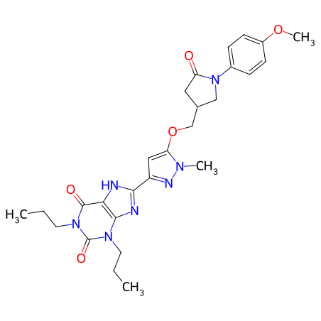 CCCn1c(=O)c2[nH]c(-c3cc(OCC4CC(=O)N(c5ccc(OC)cc5)C4)n(C)n3)nc2n(CCC)c1=O